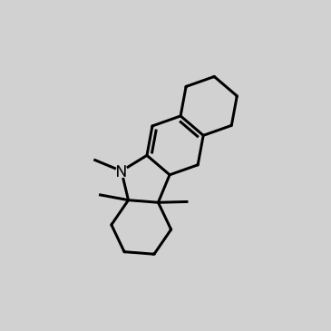 CN1C2=CC3=C(CCCC3)CC2C2(C)CCCCC12C